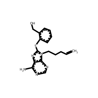 C=CCCCn1c(Sc2ccccc2CO)nc2c(N)ncnc21